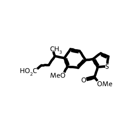 COC(=O)c1sccc1-c1ccc(C(C)CCC(=O)O)c(OC)c1